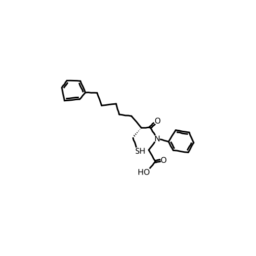 O=C(O)CN(C(=O)[C@H](CS)CCCCCc1ccccc1)c1ccccc1